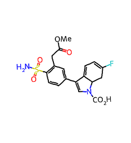 COC(=O)Cc1cc(C2=CN(C(=O)O)C3CC(F)=CC=C23)ccc1S(N)(=O)=O